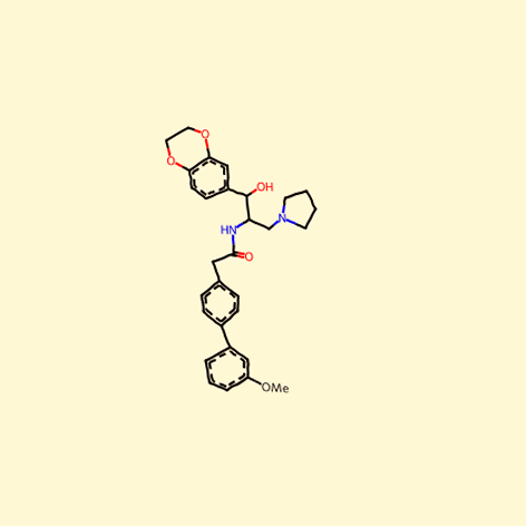 COc1cccc(-c2ccc(CC(=O)NC(CN3CCCC3)C(O)c3ccc4c(c3)OCCO4)cc2)c1